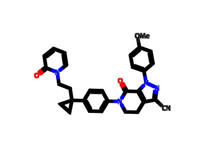 COc1ccc(-n2nc(C#N)c3c2C(=O)N(c2ccc(C4(CCn5ccccc5=O)CC4)cc2)CC3)cc1